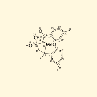 COc1ccc(F)cc1C(C)(C)C[C@@](O)(C[S+]([O-])c1ccc(C)cc1)C(F)(F)F